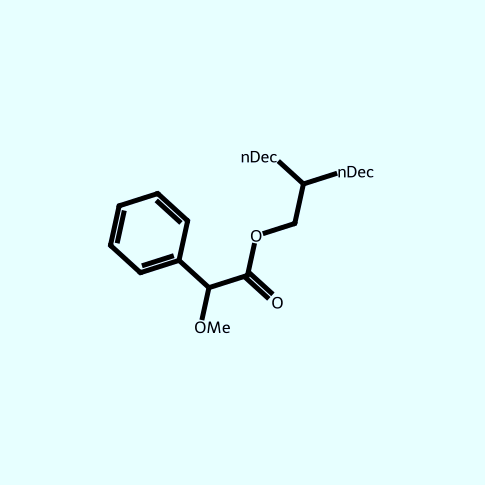 CCCCCCCCCCC(CCCCCCCCCC)COC(=O)C(OC)c1ccccc1